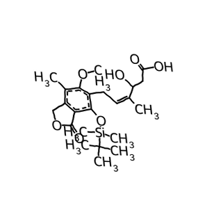 COc1c(C)c2c(c(O[Si](C)(C)C(C)(C)C)c1CC=C(C)C(O)CC(=O)O)C(=O)OC2